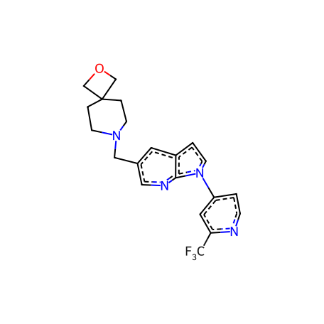 FC(F)(F)c1cc(-n2ccc3cc(CN4CCC5(CC4)COC5)cnc32)ccn1